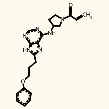 C=CC(=O)N1CCC(Nc2ncnc3[nH]c(CCCOc4ccccc4)nc23)C1